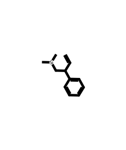 C=CC(C[Si](C)C)c1ccccc1